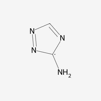 N[C]1N=CN=N1